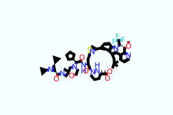 CO[C@@H](C)c1ncccc1-c1c2c3cc(ccc3n1CC(F)(F)F)-c1csc(n1)C[C@H](NC(=O)[C@H](C1CCCC1)N1CCOC3(CN(C(=O)[C@H]4[C@@H](C5CC5)N4C4CC4)C3)C1)C(=O)N1CCC[C@H](N1)C(=O)OCC(C)(C)C2